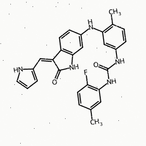 Cc1ccc(F)c(NC(=O)Nc2ccc(C)c(Nc3ccc4c(c3)NC(=O)/C4=C\c3ccc[nH]3)c2)c1